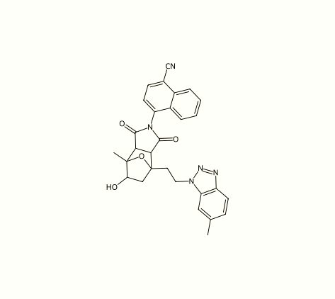 Cc1ccc2nnn(CCC34CC(O)C(C)(O3)C3C(=O)N(c5ccc(C#N)c6ccccc56)C(=O)C34)c2c1